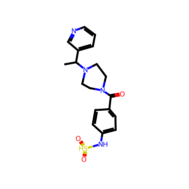 CC(c1cccnc1)N1CCN(C(=O)c2ccc(N[SH](=O)=O)cc2)CC1